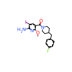 COc1nc(N)c(I)cc1C(=O)N1CCC(Cc2ccc(F)cc2)CC1